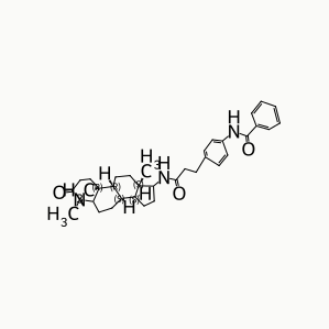 CN1C(=O)CC[C@@]2(C)C1CC[C@@H]1[C@H]2CC[C@]2(C)C(NC(=O)CCc3ccc(NC(=O)c4ccccc4)cc3)CC[C@@H]12